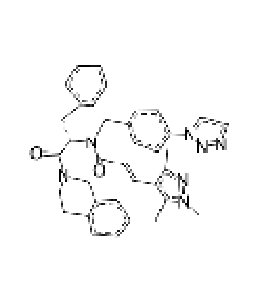 Cc1nn(C)c(C)c1C=CC(=O)N(Cc1ccc(-n2ccnn2)cc1)[C@@H](Cc1ccccc1)C(=O)N1CCc2ccccc2C1